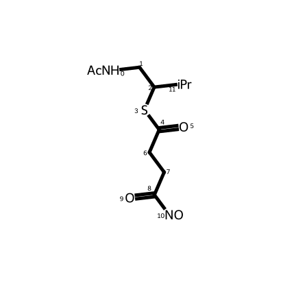 CC(=O)NCC(SC(=O)CCC(=O)N=O)C(C)C